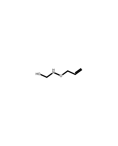 C=CCONCO